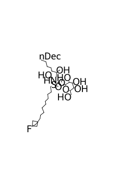 CCCCCCCCCCCCCC[C@@H](O)[C@@H](O)[C@H](CO[C@H]1OC(CO)[C@H](O)[C@H](O)C1O)N[S+]([O-])CCCCCCCCCCC12CC(F)(C1)C2